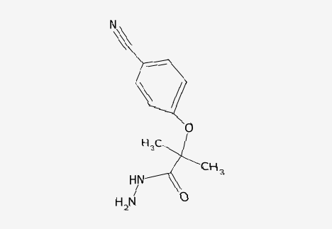 CC(C)(Oc1ccc(C#N)cc1)C(=O)NN